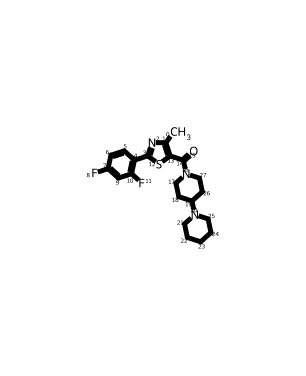 Cc1nc(-c2ccc(F)cc2F)sc1C(=O)N1CCC(N2CCCCC2)CC1